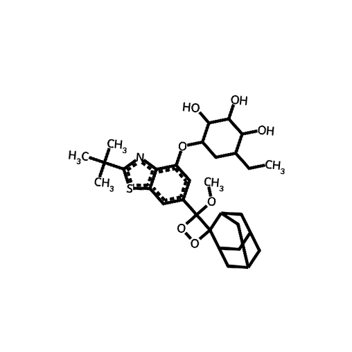 CCC1CC(Oc2cc(C3(OC)OOC34C3CC5CC(C3)CC4C5)cc3sc(C(C)(C)C)nc23)C(O)C(O)C1O